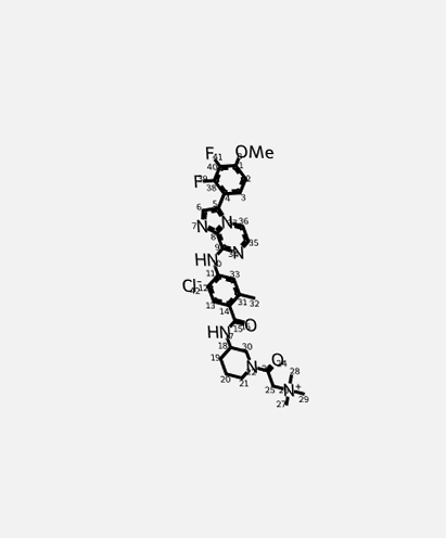 COc1ccc(-c2cnc3c(Nc4ccc(C(=O)NC5CCCN(C(=O)C[N+](C)(C)C)C5)c(C)c4)nccn23)c(F)c1F.[Cl-]